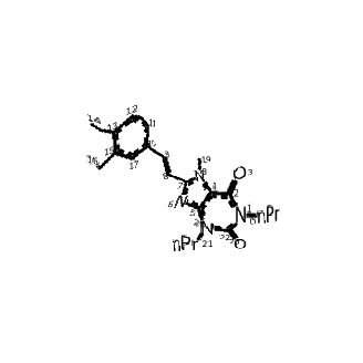 CCCn1c(=O)c2c(nc(/C=C/c3ccc(C)c(C)c3)n2C)n(CCC)c1=O